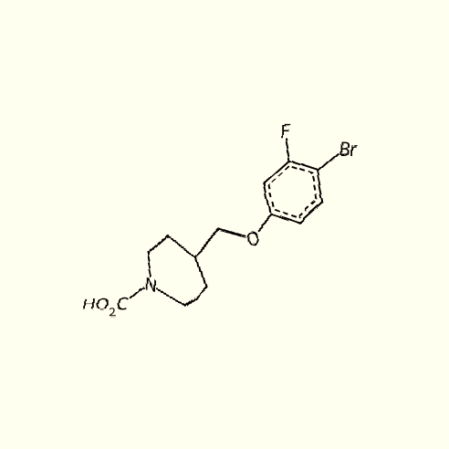 O=C(O)N1CCC(COc2ccc(Br)c(F)c2)CC1